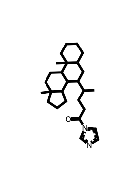 CC(CCC(=O)n1ccnc1)C1CC2CCCCC2(C)C2CCC3(C)CCCC3C12